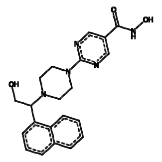 O=C(NO)c1cnc(N2CCN(C(CO)c3cccc4ccccc34)CC2)nc1